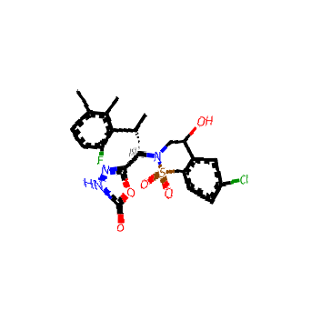 Cc1ccc(F)c(C(C)[C@@H](c2n[nH]c(=O)o2)N2CC(O)c3cc(Cl)ccc3S2(=O)=O)c1C